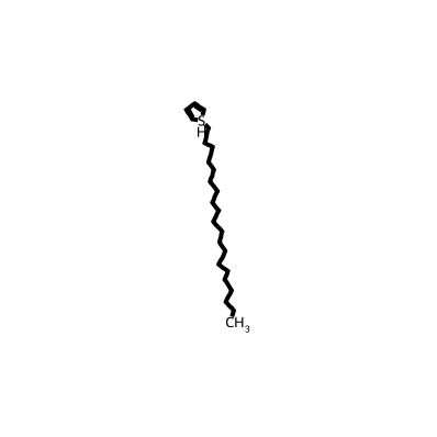 CCCCCCCCCCCCCCCCCCCC[SH]1C=CC=C1